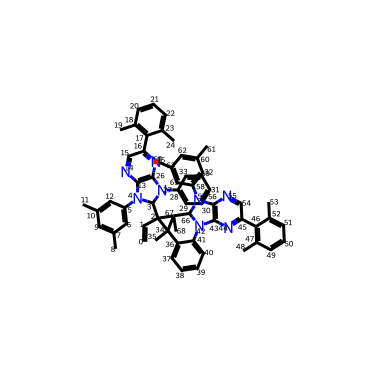 C=CC1(C2N(c3cc(C)cc(C)c3)c3ncc(-c4c(C)cccc4C)nc3N2c2ccccc2)C2(C)c3ccccc3N3c4nc(-c5c(C)cccc5C)cnc4N(c4cc(C)cc(C)c4)C3C21C